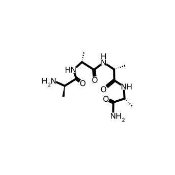 C[C@@H](N)C(=O)N[C@H](C)C(=O)N[C@H](C)C(=O)N[C@H](C)C(N)=O